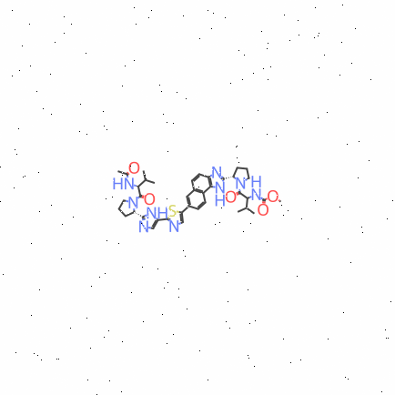 COC(=O)NC(C(=O)N1CCC[C@H]1c1nc2ccc3cc(-c4cnc(-c5cnc([C@@H]6CCCN6C(=O)[C@@H](NC(C)=O)C(C)C)[nH]5)s4)ccc3c2[nH]1)C(C)C